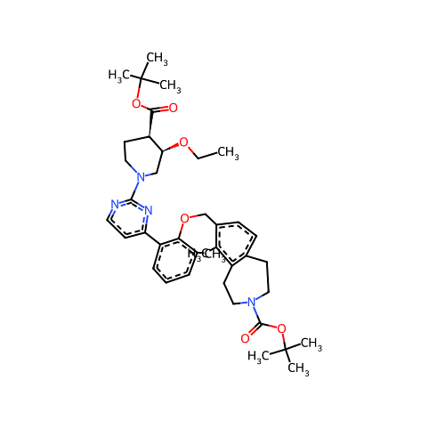 CCO[C@H]1CN(c2nccc(-c3cccc(C)c3OCc3ccc4c(c3C)CCN(C(=O)OC(C)(C)C)CC4)n2)CC[C@H]1C(=O)OC(C)(C)C